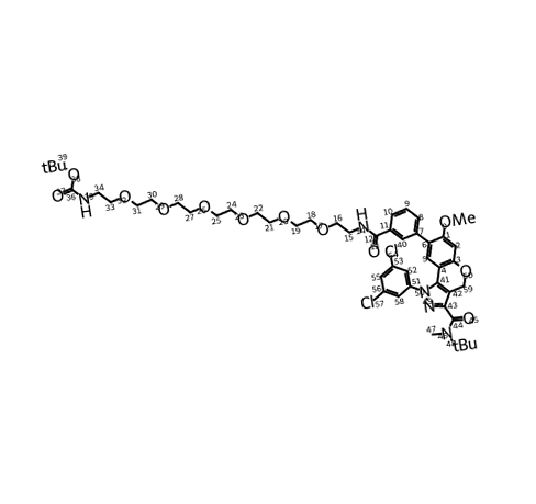 COc1cc2c(cc1-c1cccc(C(=O)NCCOCCOCCOCCOCCOCCOCCNC(=O)OC(C)(C)C)c1)-c1c(c(C(=O)N(C)C(C)(C)C)nn1-c1cc(Cl)cc(Cl)c1)CO2